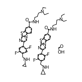 CCN(CC)CCCNC(=O)c1ccc2c(c1)sc1nc(-c3cc(F)c(CNC4CC4)cc3F)cn12.CCN(CC)CCCNC(=O)c1ccc2c(c1)sc1nc(-c3cc(F)c(CNC4CC4)cc3F)cn12.O=CO